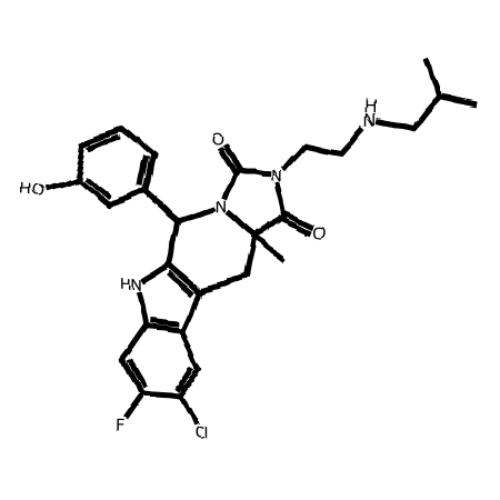 CC(C)CNCCN1C(=O)N2C(c3cccc(O)c3)c3[nH]c4cc(F)c(Cl)cc4c3CC2(C)C1=O